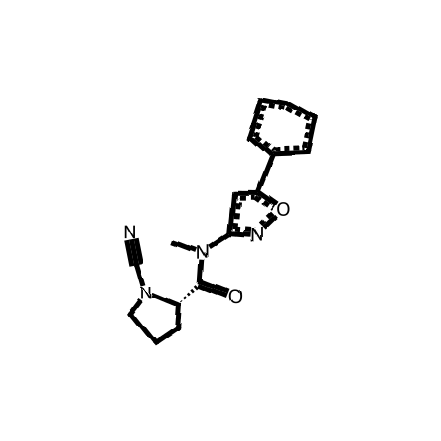 CN(C(=O)[C@@H]1CCCN1C#N)c1cc(-c2ccccc2)on1